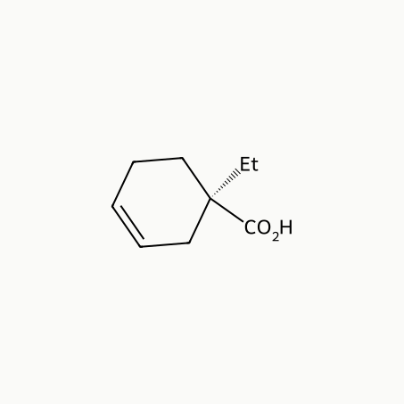 CC[C@]1(C(=O)O)CC=CCC1